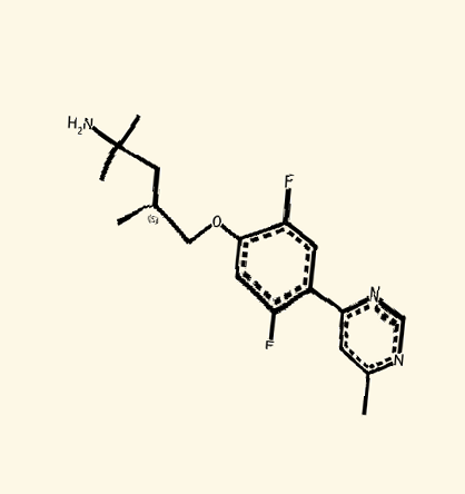 Cc1cc(-c2cc(F)c(OC[C@@H](C)CC(C)(C)N)cc2F)ncn1